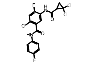 O=C(Nc1ccc(F)cc1)c1cc(NC(=O)C2CC2(Cl)Cl)c(F)cc1Cl